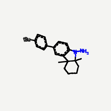 CC(C)(C)c1ccc(-c2ccc3c(c2)C2(C)CCCCC2(C)N3N)cc1